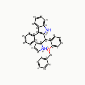 c1ccc(COc2ccccc2C(c2ccc[nH]2)c2[nH]c3ccccc3c2-c2ccccc2)cc1